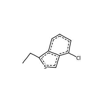 CCc1scc2c(Cl)cccc12